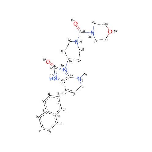 CN1CC=C(c2ccc3ccccc3c2)c2[nH]c(=O)n(C3CCN(C(=O)N4CCOCC4)CC3)c21